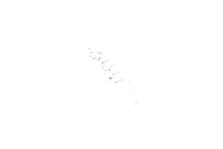 CCCCC1CCC(c2ccc(-c3ccc(C4OCC(CCC)CO4)cc3)c(F)c2)CC1